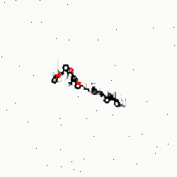 Cc1c(OCCC[C@@H]2CCN(CC(=O)Nc3cccc4c(C5CCC(=O)NC5=O)nn(C)c34)CC2(F)F)cccc1-c1ccc(N2CCc3cccc(C(=O)Nc4nc5ccccc5s4)c3C2)nc1C(=O)O